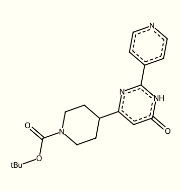 CC(C)(C)OC(=O)N1CCC(c2cc(=O)[nH]c(-c3ccncc3)n2)CC1